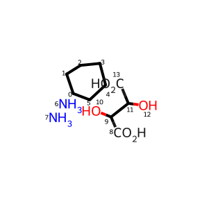 C1CCCCC1.N.N.O=C(O)C(O)C(O)C(=O)O